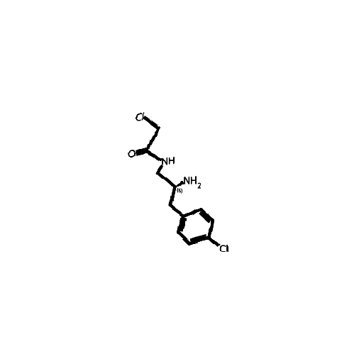 N[C@H](CNC(=O)CCl)Cc1ccc(Cl)cc1